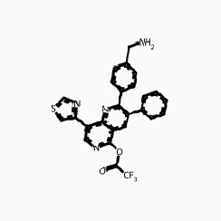 NCc1ccc(-c2nc3c(-c4cscn4)cnc(OC(=O)C(F)(F)F)c3cc2-c2ccccc2)cc1